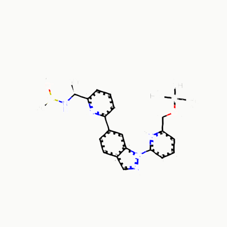 CCC[C@H](N[S@+]([O-])C(C)(C)C)c1cccc(-c2c[c]c3cnn(-c4cccc(CO[Si](C)(C)C(C)(C)C)n4)c3c2)n1